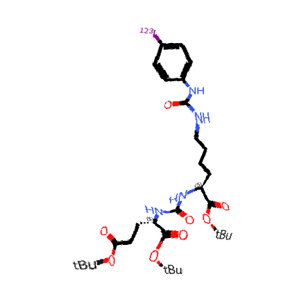 CC(C)(C)OC(=O)CC[C@H](NC(=O)N[C@@H](CCCCNC(=O)Nc1ccc([123I])cc1)C(=O)OC(C)(C)C)C(=O)OC(C)(C)C